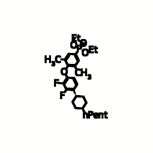 CCCCC[C@H]1CC[C@H](c2ccc(Oc3c(C)cc(P(=O)(OCC)OCC)cc3C)c(F)c2F)CC1